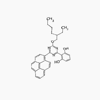 CCCCC(CC)COc1nc(-c2c(O)cccc2O)nc(-c2ccc3ccc4cccc5ccc2c3c45)n1